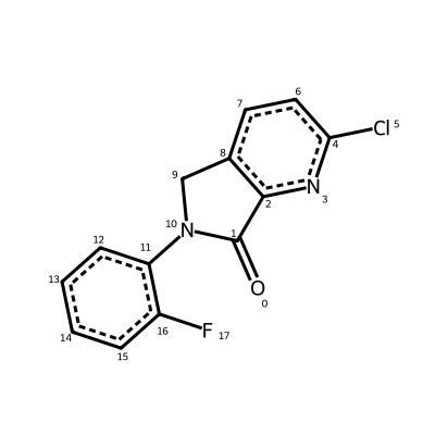 O=C1c2nc(Cl)ccc2CN1c1ccccc1F